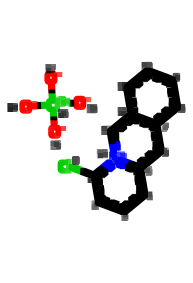 Clc1cccc2cc3ccccc3c[n+]12.[O-][Cl+3]([O-])([O-])[O-]